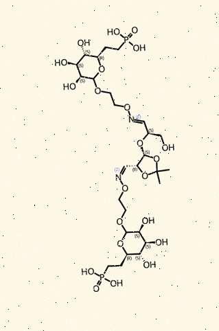 CC1(C)O[C@H](O[C@@H](/C=N/OCCOC2O[C@H](CCP(=O)(O)O)[C@@H](O)[C@H](O)[C@@H]2O)CO)[C@@H](/C=N\OCCOC2O[C@H](CCP(=O)(O)O)[C@@H](O)[C@H](O)[C@@H]2O)O1